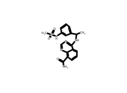 CC(Nc1ncnc2c(C(N)=O)cccc12)c1cccc(NS(C)(=O)=O)c1